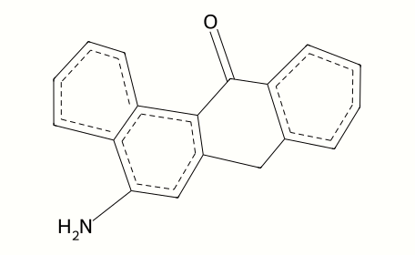 Nc1cc2c(c3ccccc13)C(=O)c1ccccc1C2